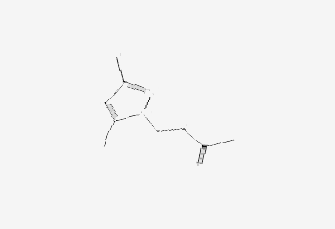 CC(=O)CCn1nc(C)cc1C